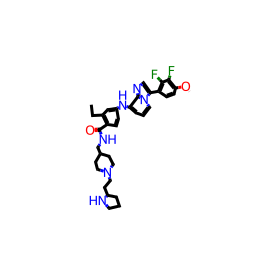 CCc1cc(Nc2cccn3c(-c4ccc(OC)c(F)c4F)cnc23)ccc1C(=O)NCC1CCN(CCC2CCCN2)CC1